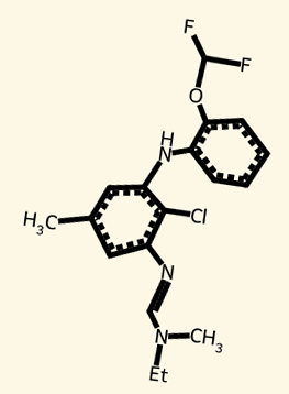 CCN(C)C=Nc1cc(C)cc(Nc2ccccc2OC(F)F)c1Cl